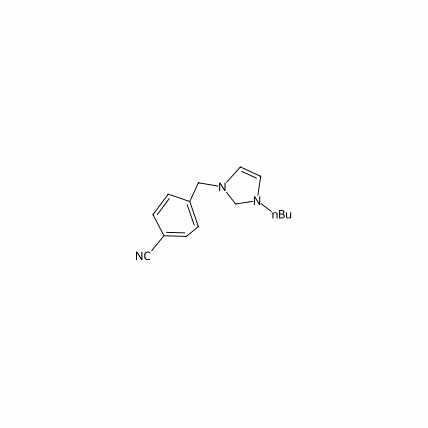 CCCCN1C=CN(Cc2ccc(C#N)cc2)C1